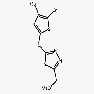 COCc1nnc(Sc2nc(C(C)(C)C)c(Br)s2)s1